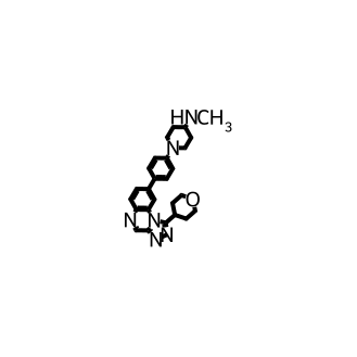 CNC1CCN(c2ccc(-c3ccc4ncc5nnc(C6CCOCC6)n5c4c3)cc2)CC1